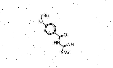 CCCCOc1ccc(C(=O)NC(=N)SC)cc1